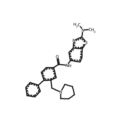 CN(C)c1nc2cc(NC(=O)c3ccc(-c4ccccc4)c(CN4CCCCC4)c3)ccc2s1